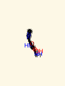 CC(C)NC[C@@H](O)COc1ccc(NC(=O)CCCCCN2CCN(c3ccccc3)CC2)cc1